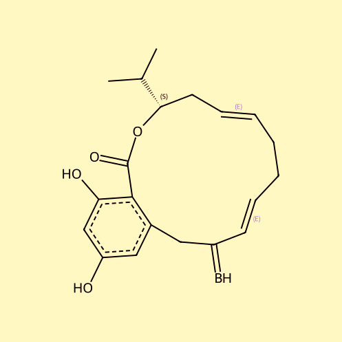 B=C1/C=C/CC/C=C/C[C@@H](C(C)C)OC(=O)c2c(O)cc(O)cc2C1